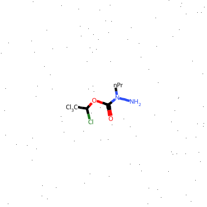 CCCN(N)C(=O)OC(Cl)C(Cl)(Cl)Cl